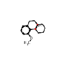 COc1cccc2c1C13CCCCC1(CC2)CNCC3